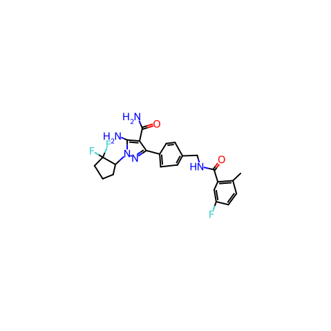 Cc1ccc(F)cc1C(=O)NCc1ccc(-c2nn(C3CCCC3(F)F)c(N)c2C(N)=O)cc1